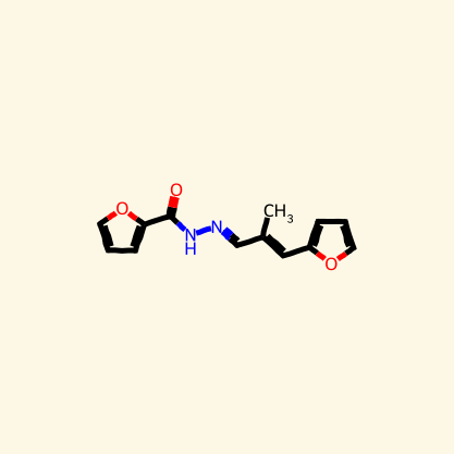 CC(/C=N/NC(=O)c1ccco1)=C\c1ccco1